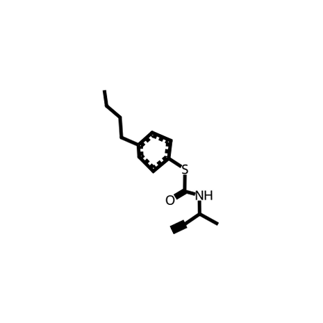 C#CC(C)NC(=O)Sc1ccc(CCCC)cc1